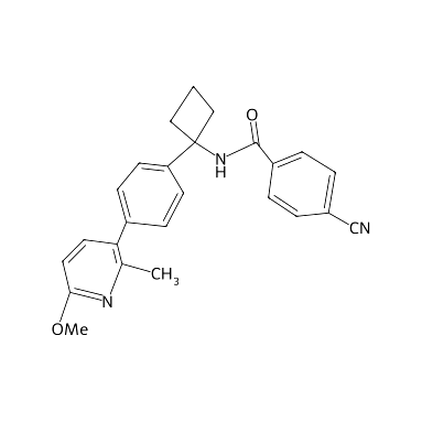 COc1ccc(-c2ccc(C3(NC(=O)c4ccc(C#N)cc4)CCC3)cc2)c(C)n1